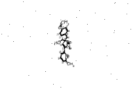 COc1ccc(CC2(CO)C=C(c3cccc(C)n3)N=N2)cc1